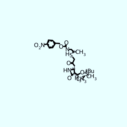 C[C@H](CNC(=O)OCc1ccc([N+](=O)[O-])cc1)SCC(=O)C[C@H]1NC(=O)[C@@H]1[C@@H](C)O[Si](C)(C)C(C)(C)C